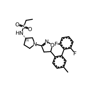 CCS(=O)(=O)N[C@H]1CCN(C2=NOC(c3ccc(C)cc3-c3c(F)cccc3F)C2)C1